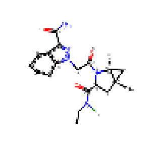 CCN(F)C(=O)[C@@H]1C[C@H]2C[C@H]2N1C(=O)Cn1nc(C(N)=O)c2ccccc21